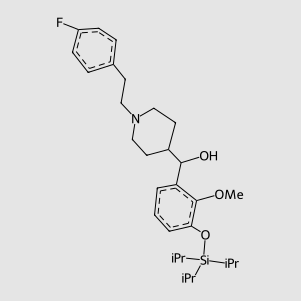 COc1c(O[Si](C(C)C)(C(C)C)C(C)C)cccc1C(O)C1CCN(CCc2ccc(F)cc2)CC1